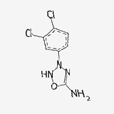 NC1=NN(c2ccc(Cl)c(Cl)c2)NO1